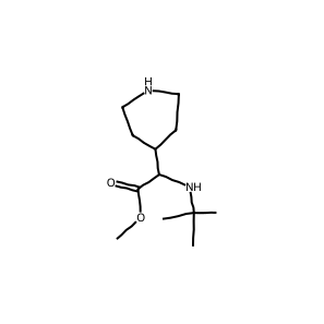 COC(=O)C(NC(C)(C)C)C1CCNCC1